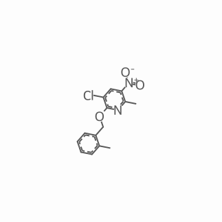 Cc1ccccc1COc1nc(C)c([N+](=O)[O-])cc1Cl